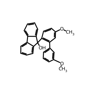 COc1cccc(-c2cc(OC)ccc2C2(O)c3ccccc3-c3ccccc32)c1